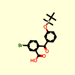 CC(C)(C)[Si](C)(C)Oc1cccc(C(=O)c2ccc(Br)cc2C(=O)O)c1